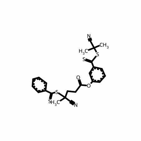 CC(C)(C#N)SC(=S)c1cccc(OC(=O)CCC(C)(C#N)SC(=S)c2ccccc2)c1